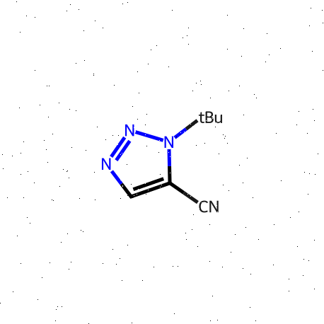 CC(C)(C)n1nncc1C#N